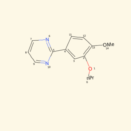 CCCOc1cc(-c2ncccn2)ccc1OC